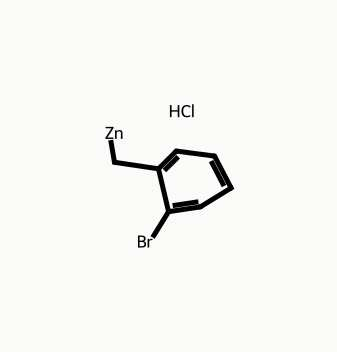 Cl.[Zn][CH2]c1ccccc1Br